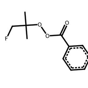 CC(C)(CF)OOC(=O)c1ccccc1